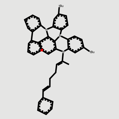 C/C(=C\CC/C=C/c1ccccc1)N1c2cc(C(C)(C)C)ccc2B2c3ccc(C(C)(C)C)cc3N(c3ccccc3-c3ccccc3)c3cccc1c32